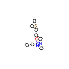 C1=C(c2ccccc2)CCC(c2nc(-c3ccccc3)nc(-c3cccc4c3oc3ccc(-c5ccc6sc7c(-c8ccccc8)cccc7c6c5)cc34)n2)=C1